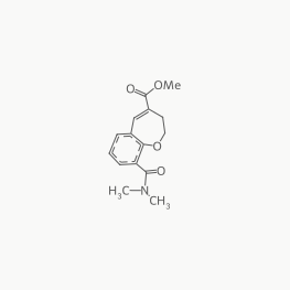 COC(=O)C1=Cc2cccc(C(=O)N(C)C)c2OCC1